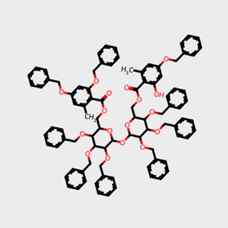 Cc1cc(OCc2ccccc2)cc(O)c1C(=O)OCC1OC(OC2OC(COC(=O)c3c(C)cc(OCc4ccccc4)cc3OCc3ccccc3)C(OCc3ccccc3)C(OCc3ccccc3)C2OCc2ccccc2)C(OCc2ccccc2)C(OCc2ccccc2)C1OCc1ccccc1